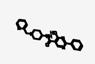 O=C(NC1CCN(Cc2ccccn2)CC1)c1cnc(-c2ccccc2)nc1O